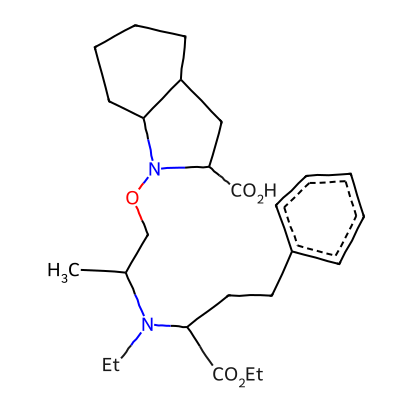 CCOC(=O)C(CCc1ccccc1)N(CC)C(C)CON1C(C(=O)O)CC2CCCCC21